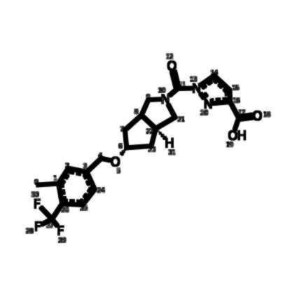 Cc1cc(CO[C@@H]2CC3CN(C(=O)n4ccc(C(=O)O)n4)C[C@H]3C2)ccc1C(F)(F)F